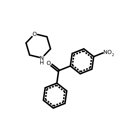 C1COCCN1.O=C(c1ccccc1)c1ccc([N+](=O)[O-])cc1